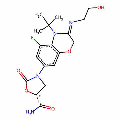 CC(C)(C)N1C(=NCCO)COc2cc(N3C[C@H](C(N)=O)OC3=O)cc(F)c21